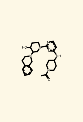 CC(=O)N1CCC(Nc2ccnc(N3CCC(O)C(N4CCc5ccccc5C4)C3)n2)CC1